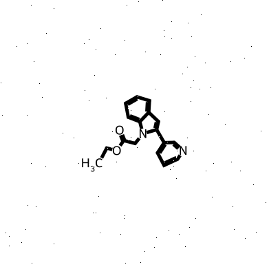 CCOC(=O)Cn1c(-c2cccnc2)cc2ccccc21